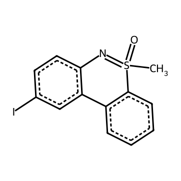 CS1(=O)=Nc2ccc(I)cc2-c2ccccc21